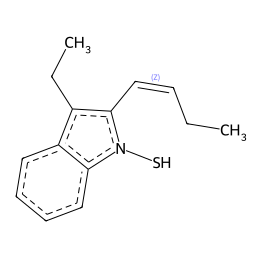 CC/C=C\c1c(CC)c2ccccc2n1S